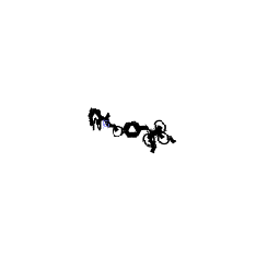 CCOC(=O)[C@H](Cc1ccc(OC/C=C(\C)c2ccccn2)cc1)OCC